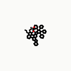 CCCc1c(CCC)c2cccc3c4cc5c6ccccc6cc5c5cc6c7c(-c8ccccc8)c(-c8ccccc8)c(-c8ccccc8)c(-c8ccccc8)c7c(CCC)c6c(c(c1CCC)c23)c54